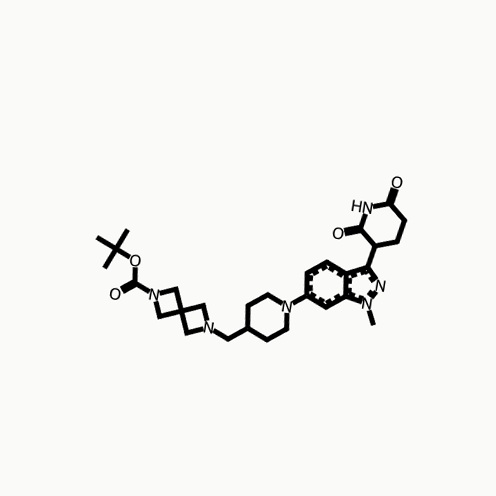 Cn1nc(C2CCC(=O)NC2=O)c2ccc(N3CCC(CN4CC5(C4)CN(C(=O)OC(C)(C)C)C5)CC3)cc21